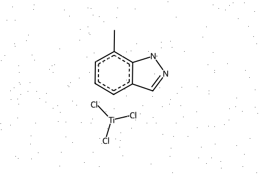 Cc1cccc2c1[N]N=C2.[Cl][Ti]([Cl])[Cl]